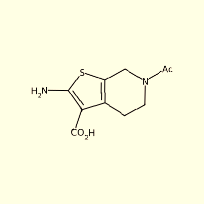 CC(=O)N1CCc2c(sc(N)c2C(=O)O)C1